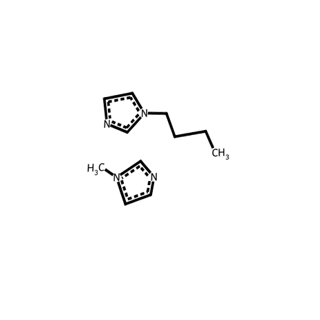 CCCCn1ccnc1.Cn1ccnc1